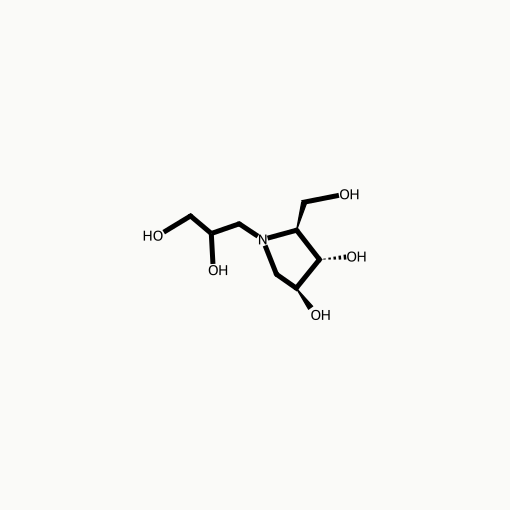 OCC(O)CN1C[C@H](O)[C@@H](O)[C@@H]1CO